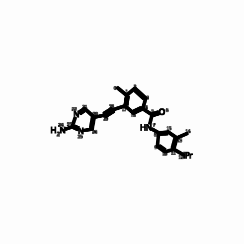 Cc1ccc(C(=O)Nc2ccc(C(C)C)c(C)c2)cc1C#Cc1cnc(N)nc1